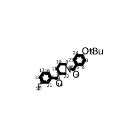 CC(C)(C)Oc1ccc(C(=O)N2CCC[C@H](C(=O)c3cccc(F)c3)C2)cc1